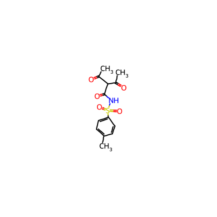 CC(=O)C(C(C)=O)C(=O)NS(=O)(=O)c1ccc(C)cc1